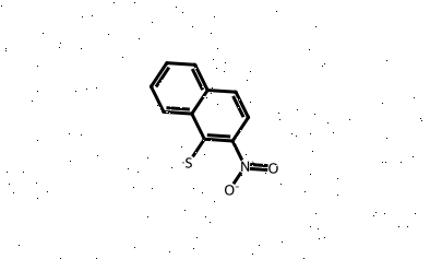 O=[N+]([O-])c1ccc2ccccc2c1[S]